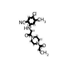 C=CC(=O)N1CCN(C(=O)CNc2cc(C)c(Cl)cc2C#N)CC1